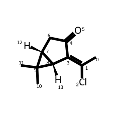 C/C(Cl)=C1\C(=O)C[C@@H]2[C@H]1C2(C)C